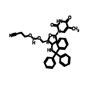 Cc1cn([C@H]2CC(NC(c3ccccc3)(c3ccccc3)c3ccccc3)[C@@H](COPOCCC#N)O2)c(=O)[nH]c1=O